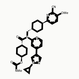 CNC(=O)O[C@H]1CC[C@H](C(=O)N(C[C@H]2CC[C@H](c3ccc(OC)c(C#N)n3)CC2)c2cc(-c3cnn(C4CC4)c3)ccn2)CC1